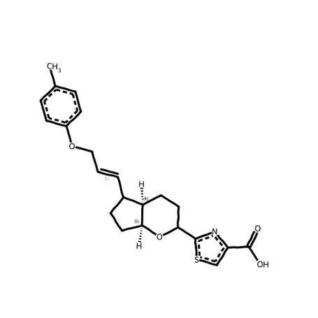 Cc1ccc(OC/C=C/C2CC[C@@H]3OC(c4nc(C(=O)O)cs4)CC[C@H]23)cc1